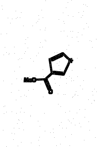 COC(=O)C1=C[N]C=C1